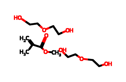 C=C(C)C(=O)OC.OCCOCCO.OCCOCCO